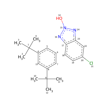 CC(C)(C)c1cccc(C(C)(C)C)c1.On1nc2ccc(Cl)cc2n1